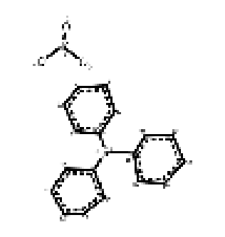 [O-][I+2]([O-])[O-].c1ccc([S+](c2ccccc2)c2ccccc2)cc1